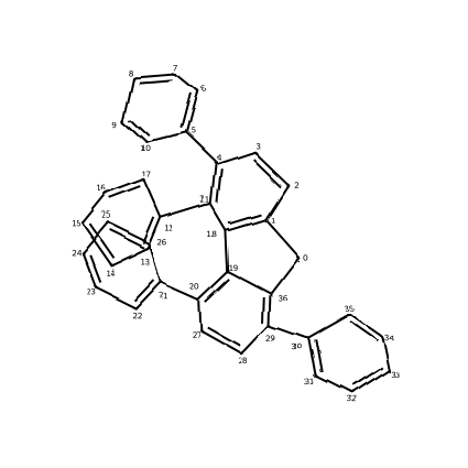 [CH]1c2ccc(-c3ccccc3)c(-c3ccccc3)c2-c2c(-c3ccccc3)ccc(-c3ccccc3)c21